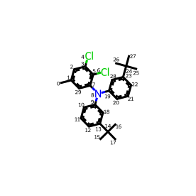 Cc1cc(Cl)c(Cl)c(N(c2cccc(C(C)(C)C)c2)c2cccc(C(C)(C)C)c2)c1